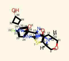 O=C(Nc1nc2c(s1)[C@@H]1COC[C@H](C2)N1c1nc(-c2ccc(F)cc2)no1)N[C@H]1C[C@@H](O)C1